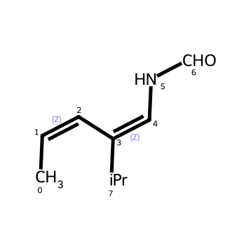 C/C=C\C(=C/NC=O)C(C)C